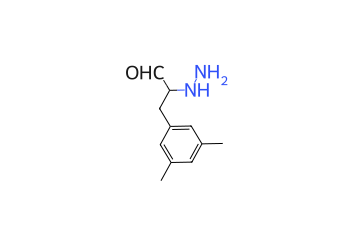 Cc1cc(C)cc(CC(C=O)NN)c1